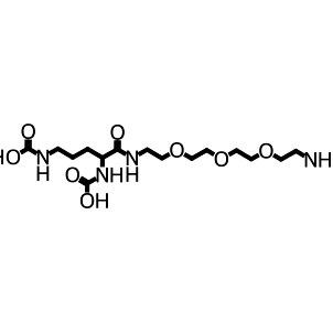 NCCOCCOCCOCCNC(=O)C(CCCNC(=O)O)NC(=O)O